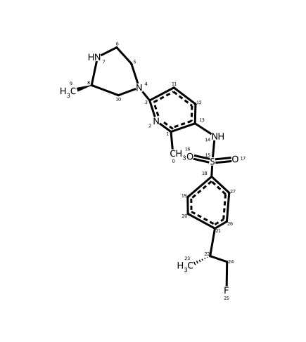 Cc1nc(N2CCN[C@H](C)C2)ccc1NS(=O)(=O)c1ccc([C@@H](C)CF)cc1